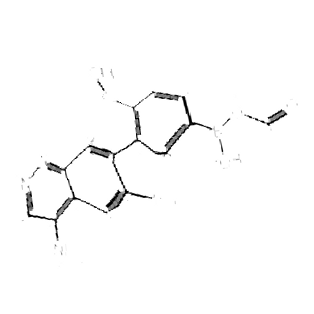 COc1ccc(B(O)OC=O)cc1-c1cc2nncc(N)c2cc1F